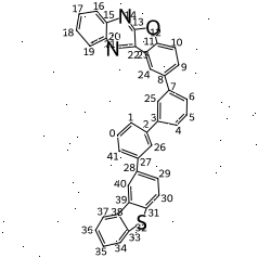 c1cc(-c2cccc(-c3ccc4oc5nc6ccccc6nc5c4c3)c2)cc(-c2ccc3sc4ccccc4c3c2)c1